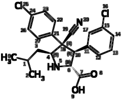 CC(C)C[C@@H]1N[C@@H](C(=O)O)[C@H](c2cccc(Cl)c2)[C@@]1(C#N)c1ccc(Cl)cc1